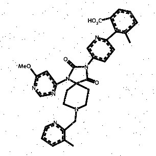 COc1cc(N2C(=O)N(c3ccc(-c4c(C)cccc4C(=O)O)nc3)C(=O)C23CCN(Cc2ncccc2C)CC3)ncn1